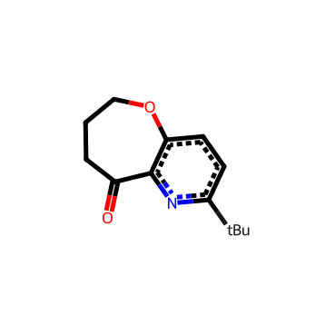 CC(C)(C)c1ccc2c(n1)C(=O)CCCO2